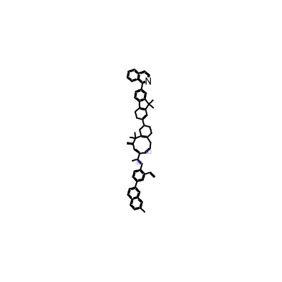 C=Cc1cc(-c2ccc3ccc(C)cc3c2)ccc1/C=C(\C)C1=CC(=C)C(C)(C)C2=C(C/C=C\1)CCC(C1=CC3=C(CC1)c1ccc(-c4nccc5ccccc45)cc1C3(C)C)C2